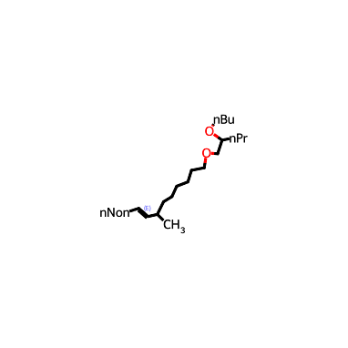 CCCCCCCCC/C=C/C(C)CCCCCCOCC(CCC)OCCCC